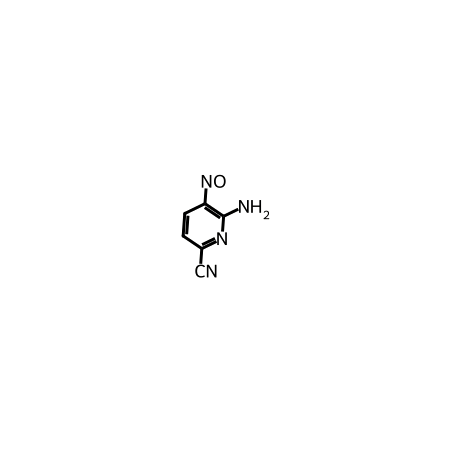 N#Cc1ccc(N=O)c(N)n1